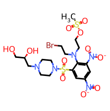 CS(=O)(=O)OCCN(CCBr)c1c([N+](=O)[O-])cc([N+](=O)[O-])cc1S(=O)(=O)N1CCN(C[C@H](O)CO)CC1